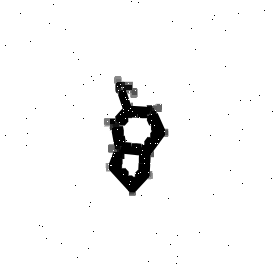 Cc1ncc2cccn2n1